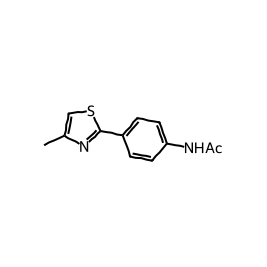 CC(=O)Nc1ccc(-c2nc(C)cs2)cc1